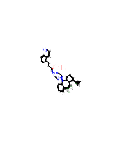 OC(CCc1cccc2ncccc12)CN1CCN(C2c3ccccc3[C@H](F)[C@H](F)c3c(C4CC4)cccc32)CC1